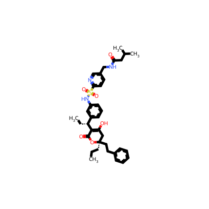 CCC[C@@]1(CCc2ccccc2)CC(O)=C([C@H](CC)c2cccc(NS(=O)(=O)c3ccc(CNC(=O)CC(C)C)cn3)c2)C(=O)O1